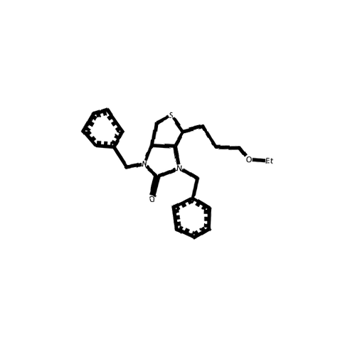 CCOCCCC1SCC2C1N(Cc1ccccc1)C(=O)N2Cc1ccccc1